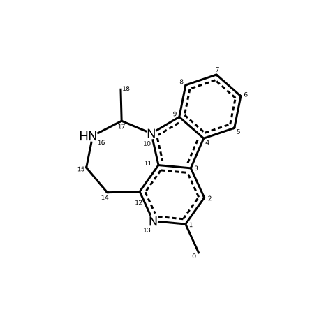 Cc1cc2c3ccccc3n3c2c(n1)CCNC3C